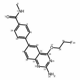 CNC(=O)c1ccc(-c2ccc3nc(N)nc(OCCF)c3c2)cc1